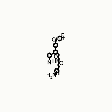 N#Cc1cccc(-c2cc(-c3ccc(C(=O)N4CCC(F)(F)CC4)cc3)cc3cc(CNC(=O)C=Cc4ccc(N)nc4)oc23)c1